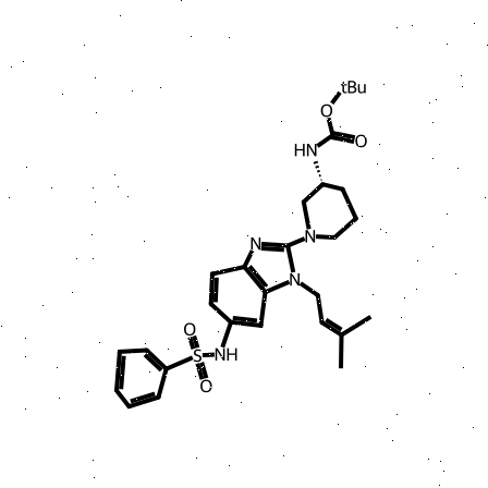 CC(C)=CCn1c(N2CCC[C@@H](NC(=O)OC(C)(C)C)C2)nc2ccc(NS(=O)(=O)c3ccccc3)cc21